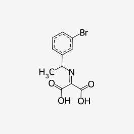 CC(N=C(C(=O)O)C(=O)O)c1cccc(Br)c1